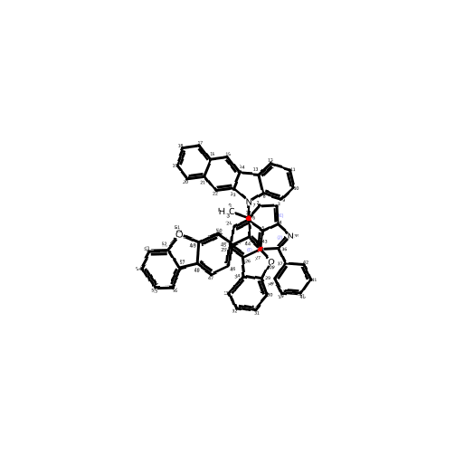 CC1C/C=C(c2c(-n3c4ccccc4c4cc5ccccc5cc43)ccc3c2oc2ccccc23)/N=C(c2ccccc2)\N=C/1c1ccc2c(c1)oc1ccccc12